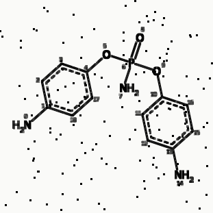 Nc1ccc(OP(N)(=O)Oc2ccc(N)cc2)cc1